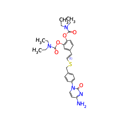 CCN(CC)C(=O)Oc1ccc(/C=C/SCc2ccc(-n3ccc(N)nc3=O)cc2)cc1OC(=O)N(CC)CC